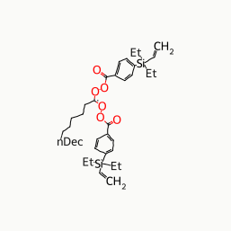 [CH2]CCCCCCCCCCCCCC[C](OOC(=O)c1ccc([Si](C=C)(CC)CC)cc1)OOC(=O)c1ccc([Si](C=C)(CC)CC)cc1